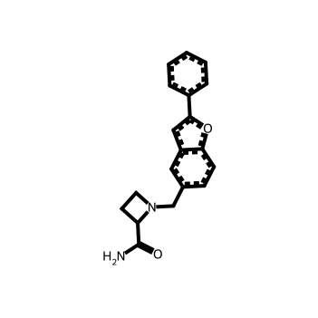 NC(=O)C1CCN1Cc1ccc2oc(-c3ccccc3)cc2c1